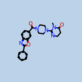 CN1C(=O)CCN=C1N1CCN(C(=O)c2ccc3nc(-c4ccccc4)oc3c2)CC1